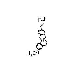 COc1ccc2c(c1)CCN1Cc3cc(CCC(F)F)sc3CC21